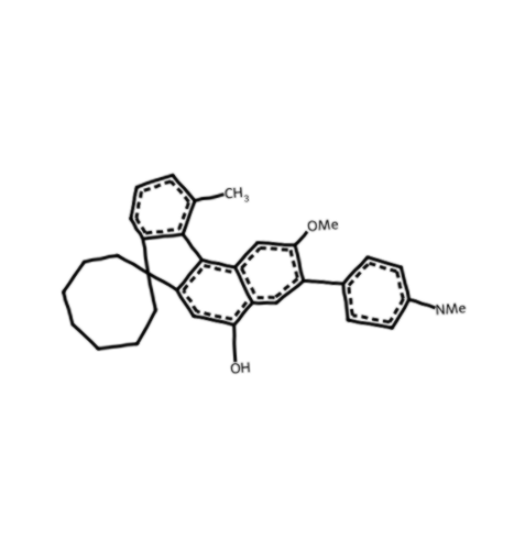 CNc1ccc(-c2cc3c(O)cc4c(c3cc2OC)-c2c(C)cccc2C42CCCCCCC2)cc1